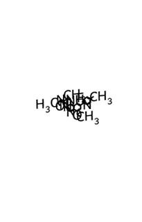 COc1cc(-c2ncc(C)cc2F)cc2c(NC(C)c3noc(C)n3)ncnc12